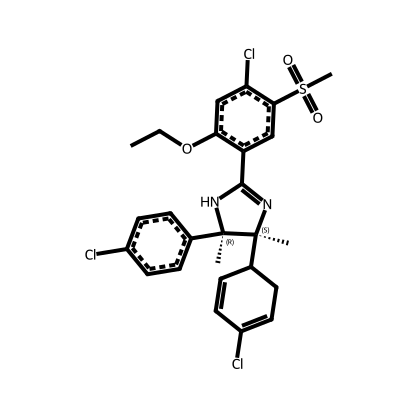 CCOc1cc(Cl)c(S(C)(=O)=O)cc1C1=N[C@@](C)(C2C=CC(Cl)=CC2)[C@@](C)(c2ccc(Cl)cc2)N1